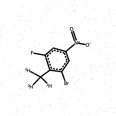 [2H]C([2H])([2H])c1c(F)cc([N+](=O)[O-])cc1Br